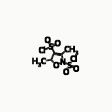 CC1=C(S(=O)(=O)Cl)C(C)ON1S(=O)(=O)Cl